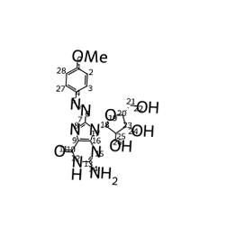 COc1ccc(/N=N/c2nc3c(=O)[nH]c(N)nc3n2[C@@H]2O[C@H](CO)[C@H](O)C2O)cc1